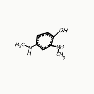 CNc1ccc(O)c(NC)c1